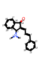 CN(C)C1C(=CC=Cc2ccccc2)C(=O)c2ccccc21